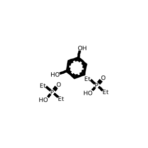 CCP(=O)(O)CC.CCP(=O)(O)CC.Oc1cccc(O)c1